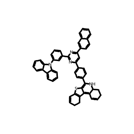 C1=Cc2sc3c(c2CC1)=C1C=CCCC1NC=3c1ccc(-c2cc(-c3ccc4ccccc4c3)nc(-c3cccc(-n4c5ccccc5c5ccccc54)c3)n2)cc1